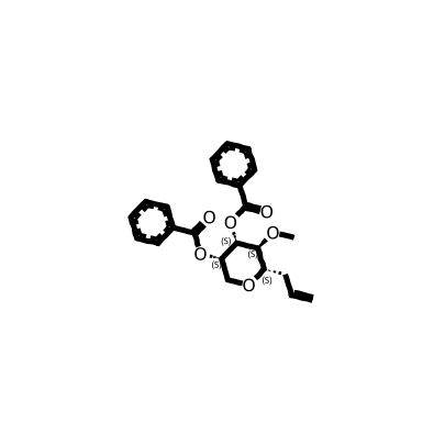 C=CC[C@@H]1OC[C@H](OC(=O)c2ccccc2)[C@H](OC(=O)c2ccccc2)[C@H]1OC